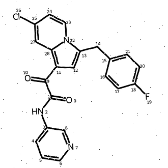 O=C(Nc1cccnc1)C(=O)c1cc(Cc2ccc(F)cc2)n2ccc(Cl)cc12